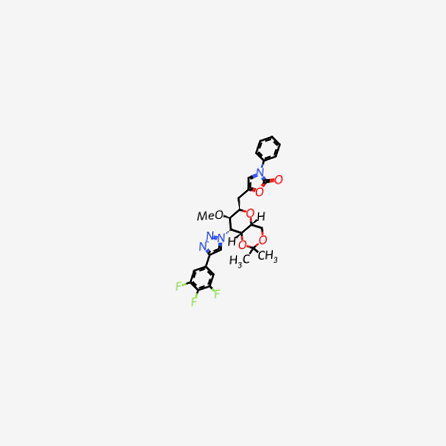 CO[C@@H]1[C@@H](n2cc(-c3cc(F)c(F)c(F)c3)nn2)[C@H]2OC(C)(C)OC[C@H]2O[C@@H]1Cc1cn(-c2ccccc2)c(=O)o1